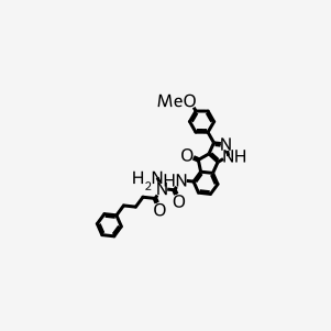 COc1ccc(-c2n[nH]c3c2C(=O)c2c(NC(=O)N(N)C(=O)CCCc4ccccc4)cccc2-3)cc1